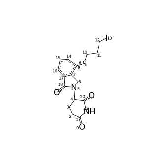 O=C1CCC(N2Cc3c(SCCCI)cccc3C2=O)C(=O)N1